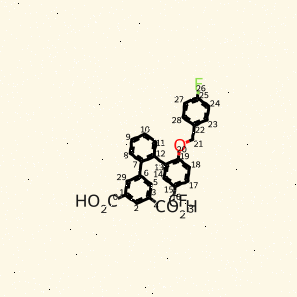 O=C(O)c1cc(C(=O)O)cc(-c2ccccc2-c2cc(C(F)(F)F)ccc2OCc2ccc(F)cc2)c1